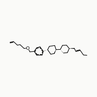 C=CCCCOCc1ccc([C@H]2CC[C@H]([C@H]3CC[C@H](CC=CCC)CC3)CC2)cc1